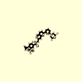 C[C@@H]1CN(c2cccc(-c3ccc4cnc(CNC(=O)c5ccc(C6CC6)c(S(C)(=O)=O)c5)cc4n3)n2)C[C@H](C)O1